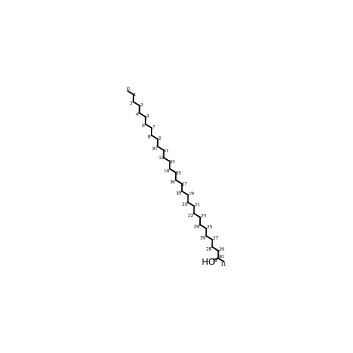 CCCCCCCCCCCCCCCCCCCCCCCCCCCCCCC(C)O